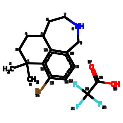 CC1(C)CCC2CCNCc3ccc(Br)c1c32.O=C(O)C(F)(F)F